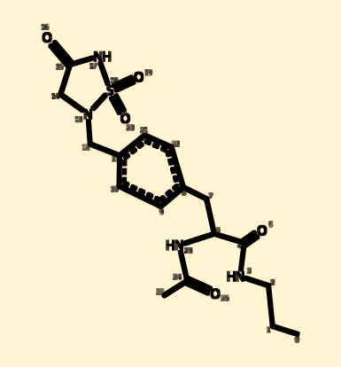 CCCNC(=O)C(Cc1ccc(CN2CC(=O)NS2(=O)=O)cc1)NC(C)=O